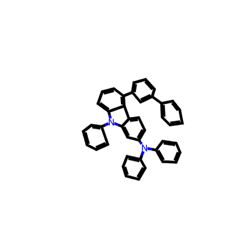 c1ccc(-c2cccc(-c3cccc4c3c3ccc(N(c5ccccc5)c5ccccc5)cc3n4-c3ccccc3)c2)cc1